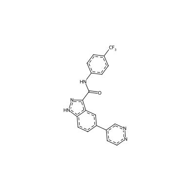 O=C(Nc1ccc(C(F)(F)F)cc1)c1n[nH]c2ccc(-c3ccnnc3)cc12